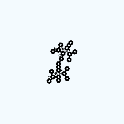 Cc1c2c(cc3cc4ccc(-c5ccc6c(c5)oc5c7c8c(cc56)N(c5cc(-c6ccccc6)cc(-c6ccccc6)c5)c5c(cc6cc9ccccc9cc6c5C)B8n5c6ccccc6c6c8oc9ccccc9c8cc-7c65)cc4cc13)B1c3c(cc4ccccc4c3-c3cc4c5ccccc5oc4c4c5ccccc5n1c34)N2c1cc(-c2ccccc2)cc(-c2ccccc2)c1